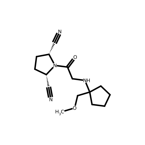 COCC1(NCC(=O)N2[C@H](C#N)CC[C@@H]2C#N)CCCC1